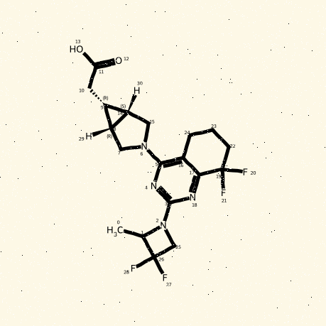 CC1N(c2nc(N3C[C@@H]4[C@H](CC(=O)O)[C@@H]4C3)c3c(n2)C(F)(F)CCC3)CC1(F)F